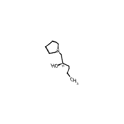 CCC[C@@H](O)CN1CCCC1